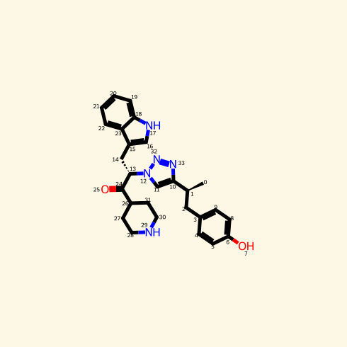 C[C@@H](Cc1ccc(O)cc1)c1cn([C@@H](Cc2c[nH]c3ccccc23)C(=O)C2CCNCC2)nn1